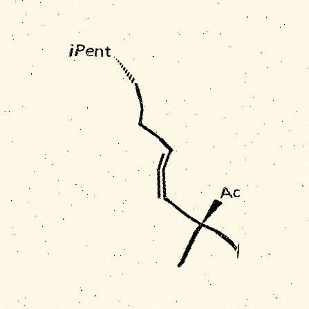 CCC[C@@H](C)CC/C=C/[C@@](C)(I)C(C)=O